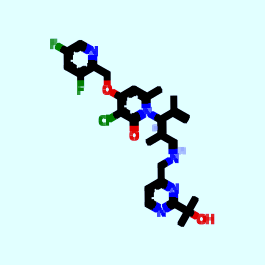 C=C(C)/C(=C(C)\C=N/Cc1ccnc(C(C)(C)O)n1)n1c(C)cc(OCc2ncc(F)cc2F)c(Cl)c1=O